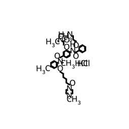 Cc1ccc(N(C)C(=O)c2ccc(NC(=O)c3ccccc3OCCCN)c(OCC(=O)N(C)C)c2)c(OCCCCCC(=O)N2CCN(C)CC2)c1.Cl.Cl